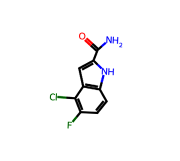 NC(=O)c1cc2c(Cl)c(F)ccc2[nH]1